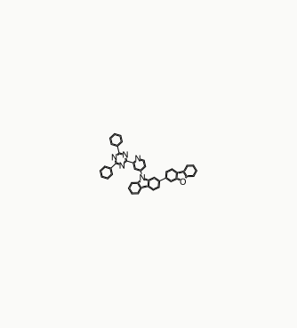 c1ccc(-c2nc(-c3ccccc3)nc(-c3cc(-n4c5ccccc5c5ccc(-c6ccc7c(c6)oc6ccccc67)cc54)ccn3)n2)cc1